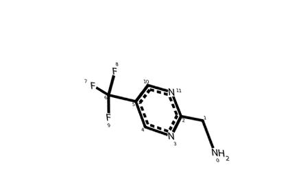 NCc1ncc(C(F)(F)F)cn1